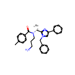 CC[C@H](C)[C@H](c1nc(-c2ccccc2)cn1Cc1ccccc1)N(CCCN)C(=O)c1ccc(C)cc1